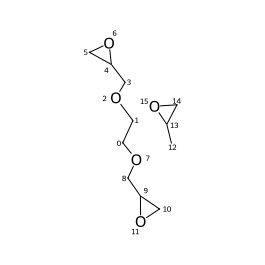 C(COCC1CO1)OCC1CO1.CC1CO1